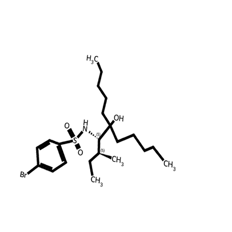 CCCCCC(O)(CCCCC)[C@@H](NS(=O)(=O)c1ccc(Br)cc1)[C@@H](C)CC